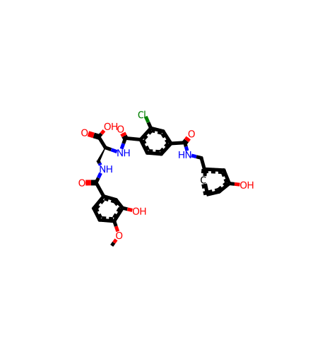 COc1ccc(C(=O)NC[C@H](NC(=O)c2ccc(C(=O)NCc3cccc(O)c3)cc2Cl)C(=O)O)cc1O